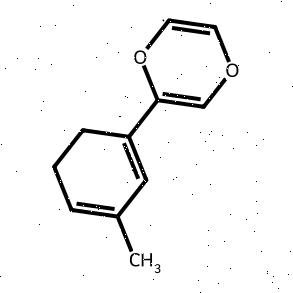 CC1=CCCC(C2=COC=[C]O2)=C1